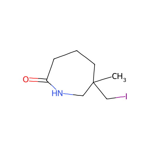 CC1(CI)CCCC(=O)NC1